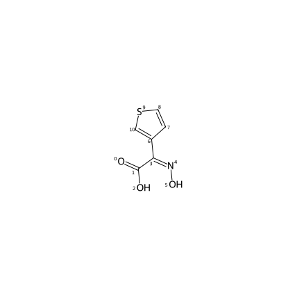 O=C(O)C(=NO)c1ccsc1